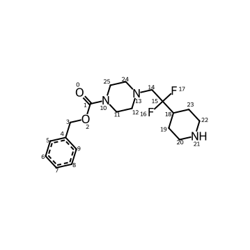 O=C(OCc1ccccc1)N1CCN(CC(F)(F)C2CCNCC2)CC1